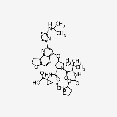 C=C[C@@H]1C[C@]1(NC(=O)[C@@H]1C[C@@H](Oc2cc(-c3csc(NC(C)C)n3)nc3c4c(ccc23)OCC4)CN1C(=O)[C@@H](NC(=O)OC1CCCC1)C(C)(C)C)C(=O)O